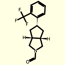 O=CN1C[C@H]2C[C@@H](c3ccccc3C(F)(F)F)C[C@H]2C1